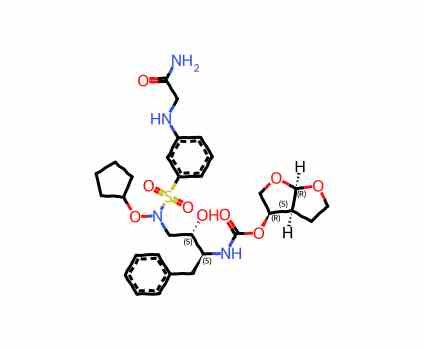 NC(=O)CNc1cccc(S(=O)(=O)N(C[C@H](O)[C@H](Cc2ccccc2)NC(=O)O[C@H]2CO[C@H]3OCC[C@H]32)OC2CCCC2)c1